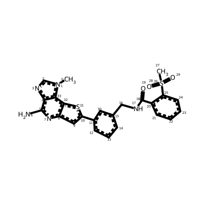 Cn1cnc2c(N)nc3cc(-c4cccc(CNC(=O)c5ccccc5S(C)(=O)=O)c4)sc3c21